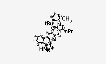 CCCc1cn(-c2c(C)cccc2C(C)(C)C)c(=O)n1Cc1ccc(-c2ccccc2-c2nnn[nH]2)cn1